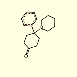 O=C1CCC(c2ccccc2)(N2CCCCC2)CC1